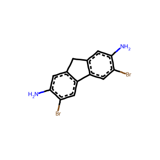 Nc1cc2c(cc1Br)-c1cc(Br)c(N)cc1C2